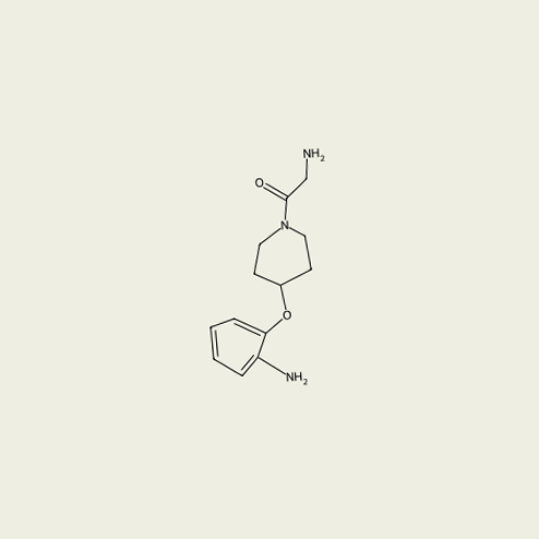 NCC(=O)N1CCC(Oc2ccccc2N)CC1